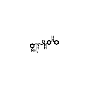 Nc1cccc(CNCCC(=O)Nc2ccc(Nc3ccccc3)cc2)c1